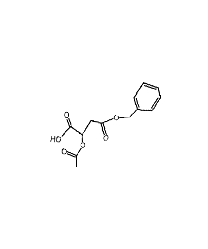 CC(=O)OC(CC(=O)OCc1ccccc1)C(=O)O